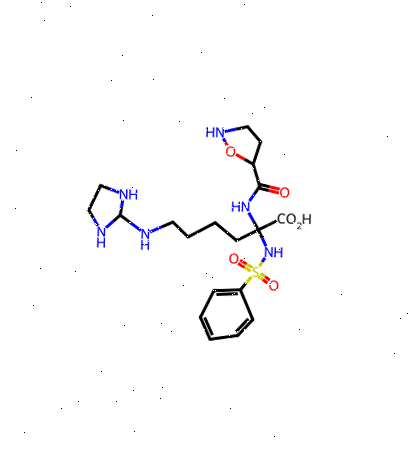 O=C(NC(CCCCNC1NCCN1)(NS(=O)(=O)c1ccccc1)C(=O)O)C1CCNO1